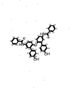 Oc1ccc(-c2cc(NC(=S)c3ccccc3)ccc2Oc2ccc(NC(=S)c3ccccc3)cc2-c2ccc(O)cc2)cc1